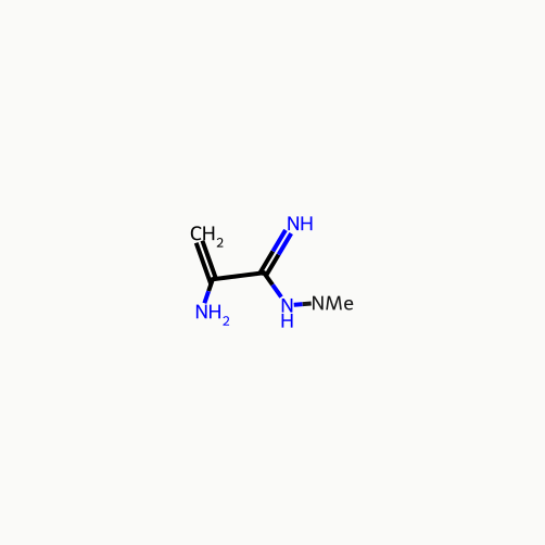 C=C(N)C(=N)NNC